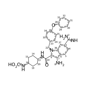 N=C(N)c1ccc2c(N)c(C(=O)NC3CCC(NC(=O)O)CC3)n(Cc3ccc(Oc4ccccc4)cc3)c2c1